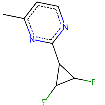 Cc1ccnc(C2C(F)C2F)n1